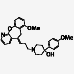 COc1ccc(C2(O)CCN(CCC=C3Cc4c(OC)cccc4Oc4ncccc43)CC2)cc1